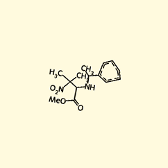 COC(=O)C(NC(C)c1ccccc1)C(C)(C)[N+](=O)[O-]